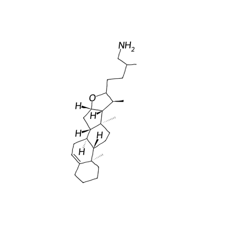 CC(CN)CCC1O[C@H]2C[C@H]3[C@@H]4CC=C5CCCC[C@]5(C)[C@H]4CC[C@]3(C)[C@H]2[C@@H]1C